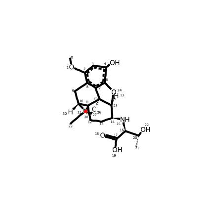 COc1cc(O)c2c3c1C[C@@H]1[C@@H]4CC[C@H](N[C@H](C(=O)O)[C@@H](C)O)[C@H](O2)[C@]34CCN1C